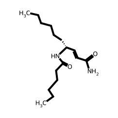 CCCCCC[C@H](C=CC(N)=O)NC(=O)CCCCC